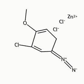 COC1=CCC(=[N+]=[N-])C=C1Cl.[Cl-].[Cl-].[Zn+2]